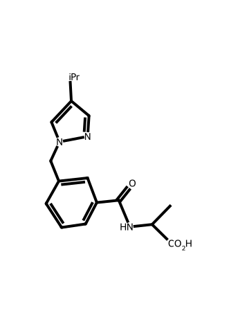 CC(NC(=O)c1cccc(Cn2cc(C(C)C)cn2)c1)C(=O)O